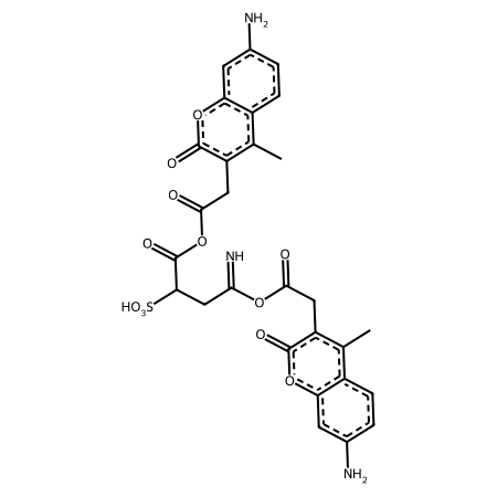 Cc1c(CC(=O)OC(=N)CC(C(=O)OC(=O)Cc2c(C)c3ccc(N)cc3oc2=O)S(=O)(=O)O)c(=O)oc2cc(N)ccc12